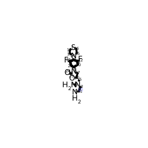 N/C=C\N(N)C[C@H]1CN(c2cc(F)c(N3CCSCC3)c(F)c2)C(=O)O1